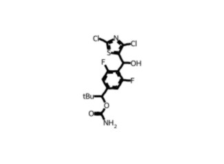 CC(C)(C)C(OC(N)=O)c1cc(F)c(C(O)c2sc(Cl)nc2Cl)c(F)c1